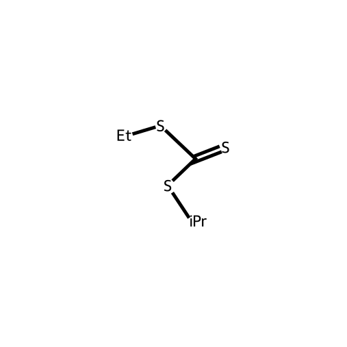 CCSC(=S)SC(C)C